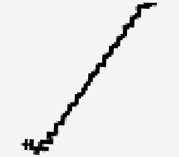 [C]#CCCCCCCCCCCCCCCCCCCCCCCCCCCCC[CH2]